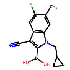 Cc1cc2c(cc1F)c(C#N)c(B(O)O)n2CC1CC1